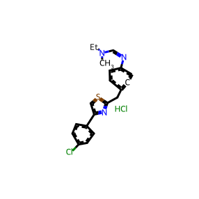 CCN(C)/C=N\c1ccc(Cc2nc(-c3ccc(Cl)cc3)cs2)cc1.Cl